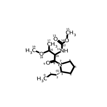 CCC[C@H]1CCCN1C(=O)C(NC(=O)OC)C(C)OC